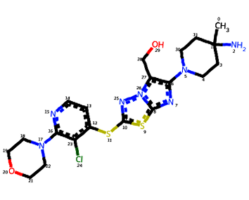 CC1(N)CCN(c2nc3sc(Sc4ccnc(N5CCOCC5)c4Cl)nn3c2CO)CC1